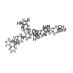 CC(C)c1ccccc1[C@H]1CCC[C@H]1N1CC2(CCN(c3ccc(C(=O)NS(=O)(=O)c4cnc(NC[C@H]5CC[C@](C)(O)CC5)c([N+](=O)[O-])c4)c(Oc4cnc5[nH]cc(F)c5c4)c3)CC2)C1